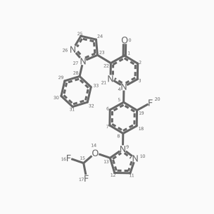 O=c1ccn(-c2ccc(-n3nccc3OC(F)F)cc2F)nc1-c1ccnn1-c1ccccc1